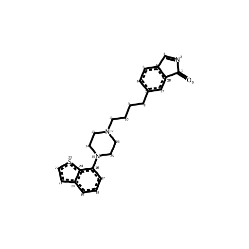 O=C1N=Cc2ccc(CCCCN3CCN(c4cccc5ccsc45)CC3)cc21